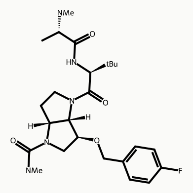 CNC(=O)N1C[C@H](OCc2ccc(F)cc2)[C@@H]2[C@H]1CCN2C(=O)[C@@H](NC(=O)[C@H](C)NC)C(C)(C)C